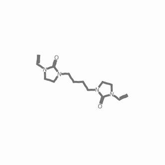 C=CN1CCN(CCCCN2CCN(C=C)C2=O)C1=O